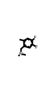 Cc1cc(F)c(F)cc1CN(C)C